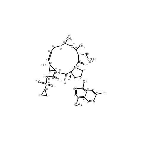 COc1cnc(O[C@@H]2C[C@H]3C(=O)N[C@]4(C(=O)NS(=O)(=O)C5CC5)C[C@H]4/C=C\CC[C@@H](C)C[C@@H](C)[C@H](NC(=O)O)C(=O)N3C2)c2cc(F)ccc12